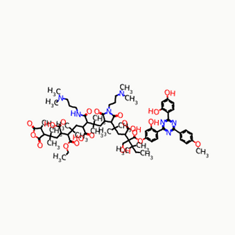 CCOC(=O)C(C(CC(C)(C)C1C(=O)OC(=O)C1C)C(=O)O)C(C)(C)CC(C(=O)O)C(C(=O)NCCCN(C)C)C(C)(C)CC1C(=O)N(CCCN(C)C)C(=O)C1C(C)(C)CC(C(=O)O)C(CO)(C(=O)Oc1ccc(-c2nc(-c3ccc(OC)cc3)nc(-c3ccc(O)cc3O)n2)c(O)c1)C(C)(C)CC